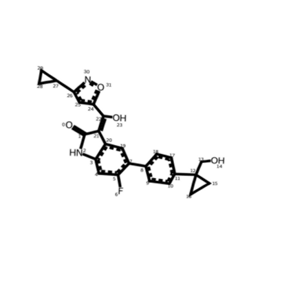 O=C1Nc2cc(F)c(-c3ccc(C4(CO)CC4)cc3)cc2C1=C(O)c1cc(C2CC2)no1